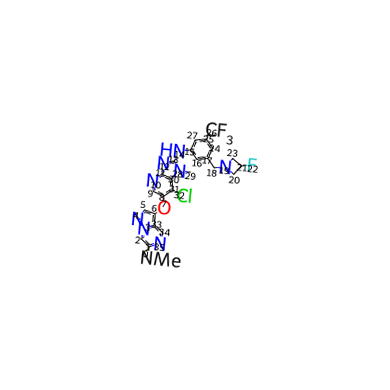 CNc1cn2ncc(Oc3cnc4nc(Nc5cc(CN6CC(F)C6)cc(C(F)(F)F)c5)n(C)c4c3Cl)c2cn1